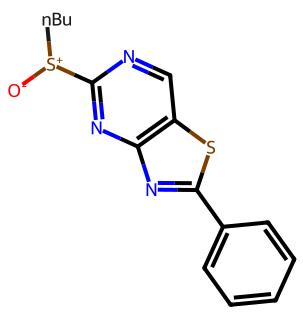 CCCC[S+]([O-])c1ncc2sc(-c3ccccc3)nc2n1